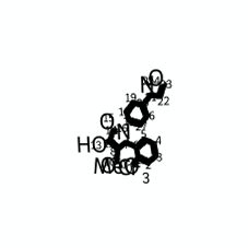 COc1ccccc1C1C(C(=O)C(F)(F)F)=C(O)C(=O)N1c1ccc(-c2ccon2)cc1